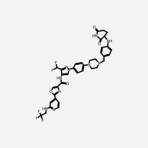 O=C1CCC(Nc2ccc(CN3CCN(c4ccc(-n5cc(NC(=O)c6coc(-c7ccnc(NCC(F)(F)F)c7)n6)c(C(F)F)n5)cc4)CC3)cc2)C(=O)N1